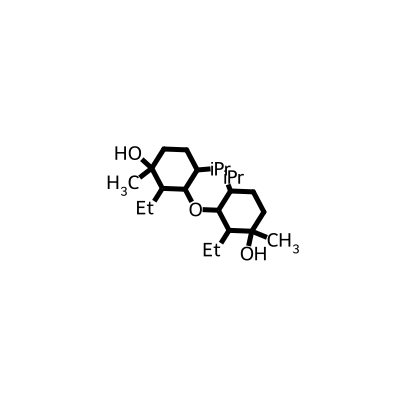 CCC1C(OC2C(C(C)C)CCC(C)(O)C2CC)C(C(C)C)CCC1(C)O